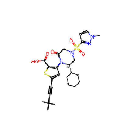 Cn1ccc(S(=O)(=O)N2CC(=O)N(c3cc(C#CC(C)(C)C)sc3C(=O)O)[C@H](C3CCCCC3)C2)n1